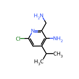 CC(C)c1cc(Cl)nc(CN)c1N